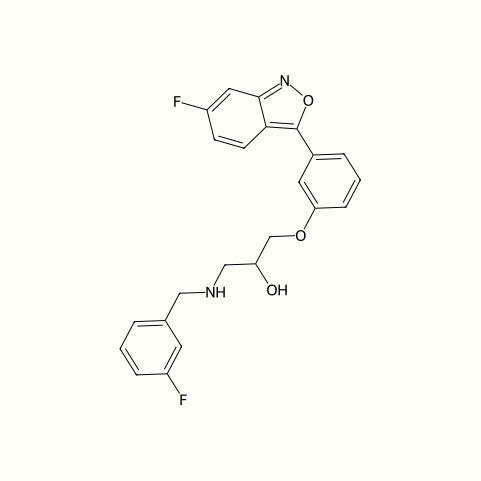 OC(CNCc1cccc(F)c1)COc1cccc(-c2onc3cc(F)ccc23)c1